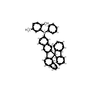 Cc1ccc(C)c(N(c2ccccc2)c2ccc3cc4c(cc3c2)C2(c3ccccc3-c3ccccc32)c2c-4ccc3ccccc23)c1